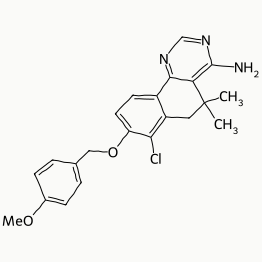 COc1ccc(COc2ccc3c(c2Cl)CC(C)(C)c2c(N)ncnc2-3)cc1